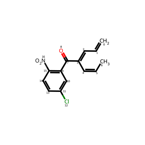 C=C/C=C(\C=C/C)C(=O)c1cc(Cl)ccc1[N+](=O)[O-]